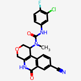 CN(C(=O)Nc1ccc(F)c(Cl)c1)C1COCc2[nH]c(=O)c3cc(C#N)ccc3c21